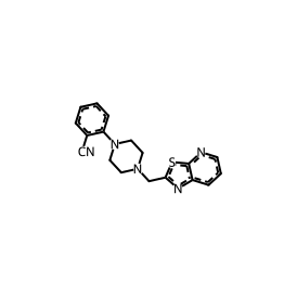 N#Cc1ccccc1N1CCN(Cc2nc3cccnc3s2)CC1